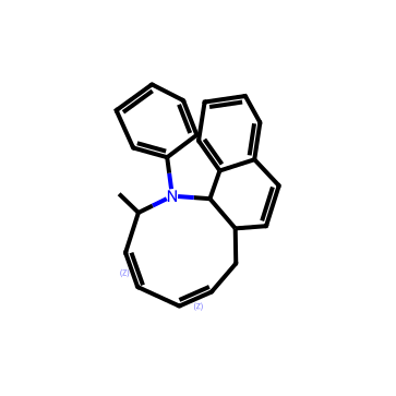 CC1/C=C\C=C/CC2C=Cc3ccccc3C2N1c1ccccc1